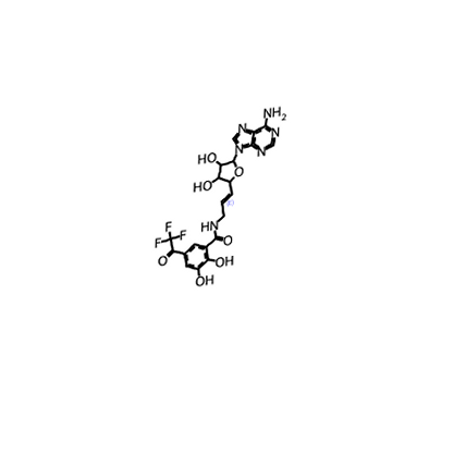 Nc1ncnc2c1ncn2C1OC(/C=C/CNC(=O)c2cc(C(=O)C(F)(F)F)cc(O)c2O)C(O)C1O